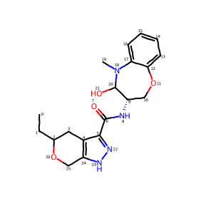 CCC1Cc2c(C(=O)N[C@H]3COc4ccccc4N(C)C3O)n[nH]c2CO1